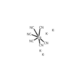 N#[C][Fe]([C]#N)([C]#N)([C]#N)([C]#N)[C]#N.[K].[K].[K].[K]